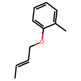 CC=CCOc1ccccc1C